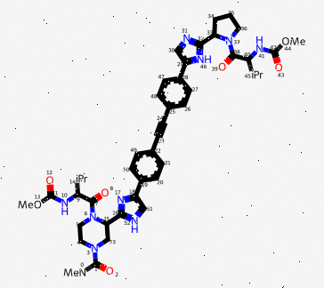 CNC(=O)N1CCN(C(=O)C(NC(=O)OC)C(C)C)C(c2nc(-c3ccc(C#Cc4ccc(-c5cnc(C6CCCN6C(=O)C(NC(=O)OC)C(C)C)[nH]5)cc4)cc3)c[nH]2)C1